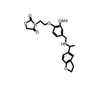 COc1cc(CNC(C)c2ccc3c(c2)CCO3)ccc1OCCN1C(=O)COC1=O